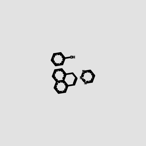 C1=Cc2cccc3cccc(c23)C1.Oc1ccccc1.c1cnnnc1